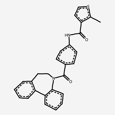 Cc1sccc1C(=O)Nc1ccc(C(=O)N2CCc3ccccc3-c3ccccc32)cc1